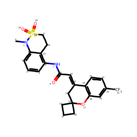 CN1c2cccc(NC(=O)C=C3CC4(CCC4)Oc4cc(C(F)(F)F)ccc43)c2CCS1(=O)=O